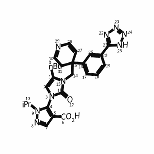 CCCCc1cn(-c2c(C(=O)O)cnn2C(C)C)c(=O)n1CC1(c2cccc(-c3nnn[nH]3)c2)C=CN=CC1